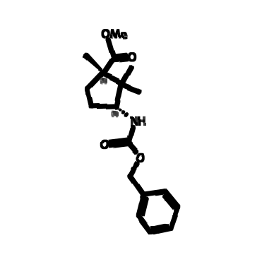 COC(=O)[C@@]1(C)CC[C@@H](NC(=O)OCc2ccccc2)C1(C)C